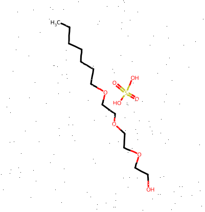 CCCCCCCOCCOCCOCCO.O=S(=O)(O)O